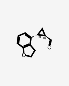 O=C[C@@H]1C[C@H]1c1cccc2c1CCO2